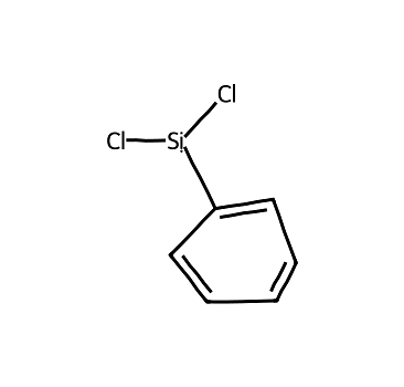 Cl[Si](Cl)c1ccccc1